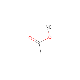 [C-]#[N+]OC(C)=O